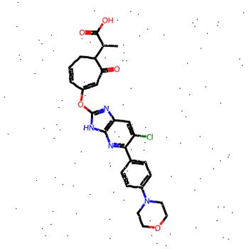 CC(C(=O)O)C1CC=CC(Oc2nc3cc(Cl)c(-c4ccc(N5CCOCC5)cc4)nc3[nH]2)=CC1=O